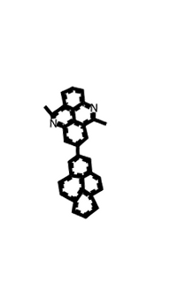 Cc1nc2cc(-c3cc4ccc5cccc6ccc(c3)c4c56)cc3c(C)nc4cccc1c4c23